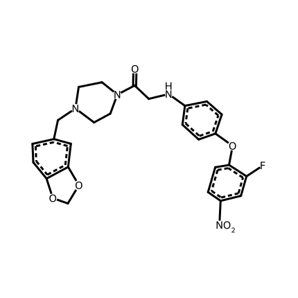 O=C(CNc1ccc(Oc2ccc([N+](=O)[O-])cc2F)cc1)N1CCN(Cc2ccc3c(c2)OCO3)CC1